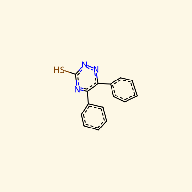 Sc1nnc(-c2ccccc2)c(-c2ccccc2)n1